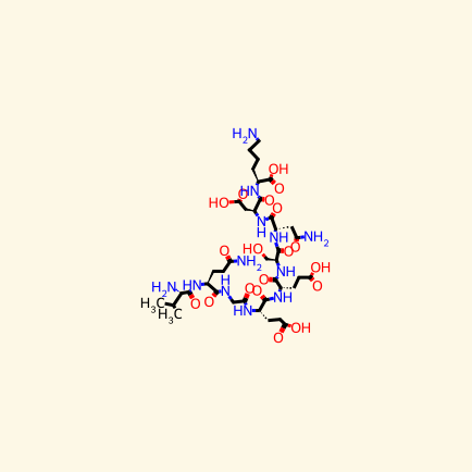 CC(C)[C@H](N)C(=O)N[C@@H](CCC(N)=O)C(=O)NCC(=O)N[C@@H](CCC(=O)O)C(=O)N[C@@H](CCC(=O)O)C(=O)N[C@@H](CO)C(=O)N[C@@H](CC(N)=O)C(=O)N[C@@H](CC(=O)O)C(=O)N[C@@H](CCCCN)C(=O)O